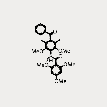 COc1cc(OC)c(C(=O)[PH](=O)c2c(OC)c(C)c(C(=O)c3ccccc3)c(C)c2OC)c(OC)c1